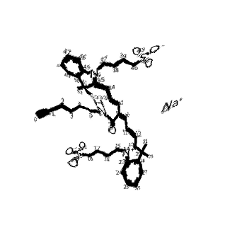 C#CCCCCNC(=O)C(=C\C=C\C1=[N+](CCCCS(=O)(=O)[O-])c2ccccc2C1(C)C)/C=C/C=C1/N(CCCCS(=O)(=O)[O-])c2ccccc2C1(C)C.[Na+]